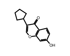 O=c1c(C2CCCC2)coc2cc(O)ccc12